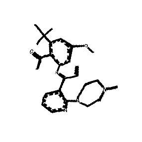 C=C/C(=N\c1cc(OC)cc(C(C)(C)C)c1C(C)=O)c1cccnc1N1CCN(C)CC1